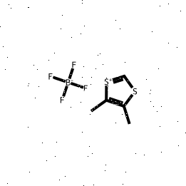 Cc1sc[s+]c1C.F[B-](F)(F)F